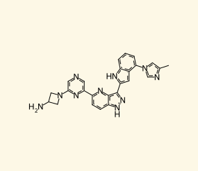 Cc1cn(-c2cccc3[nH]c(-c4n[nH]c5ccc(-c6cncc(N7CC(N)C7)n6)nc45)cc23)cn1